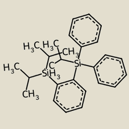 CC(C)[Si](c1ccccc1[Si](c1ccccc1)(c1ccccc1)C(C)C)C(C)C